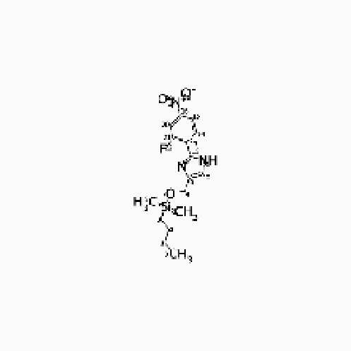 CCCC[Si](C)(C)OCc1c[nH]c(-c2ccc([N+](=O)[O-])cc2F)n1